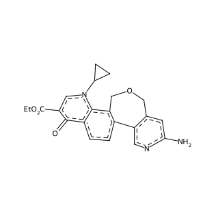 CCOC(=O)c1cn(C2CC2)c2c3c(ccc2c1=O)-c1cnc(N)cc1COC3